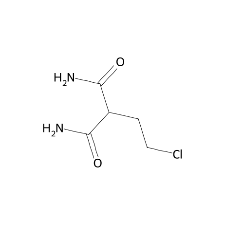 NC(=O)C(CCCl)C(N)=O